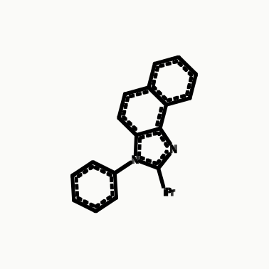 CC(C)c1nc2c3ccccc3ccc2n1-c1ccccc1